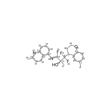 Cc1ccc2c(c1)C(C(F)(F)C(C)(O)C(F)=Nc1cccc3nc(C)ccc13)CCO2